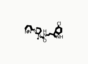 CN(C(=O)NCCc1c[nH]c2ccc(Cl)cc12)[C@@H]1CCCN(c2cccnn2)C1